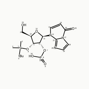 CC(C)(C)[Si](C)(C)O[C@H]1[C@@H](O[PH](=O)O)[C@H](n2ccc(=O)n3ccnc23)O[C@@H]1CO